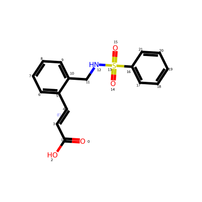 O=C(O)/C=C/c1ccccc1CNS(=O)(=O)c1ccccc1